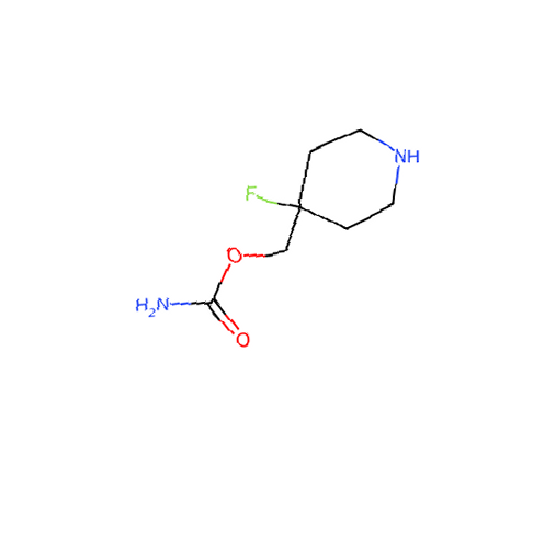 NC(=O)OCC1(F)CCNCC1